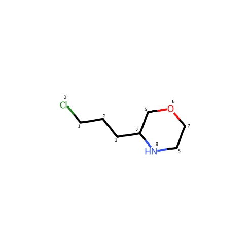 ClCCCC1COCCN1